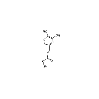 CC(C)OC(=O)/C=C/c1ccc(O)c(O)c1